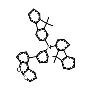 CC1(C)c2ccccc2-c2ccc(N(c3cccc(-c4cccc5oc6ccccc6c45)c3)c3cccc4c3C(C)(C)c3ccccc3-4)cc21